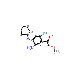 COCC(=O)c1cc(N)c(NC2CCCCC2)cc1F